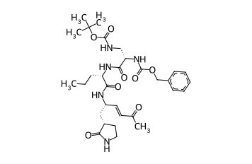 CCC[C@H](NC(=O)[C@H](CNC(=O)OC(C)(C)C)NC(=O)OCc1ccccc1)C(=O)N[C@H](/C=C/C(C)=O)C[C@@H]1CCNC1=O